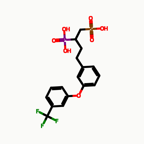 O=P(O)(O)C(CCc1cccc(Oc2cccc(C(F)(F)F)c2)c1)CS(=O)(=O)O